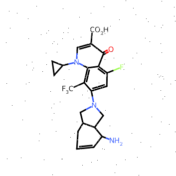 NC1C=CCC2CN(c3cc(F)c4c(=O)c(C(=O)O)cn(C5CC5)c4c3C(F)(F)F)CC12